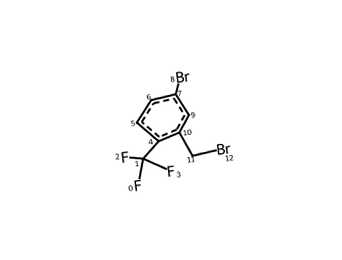 FC(F)(F)c1ccc(Br)cc1CBr